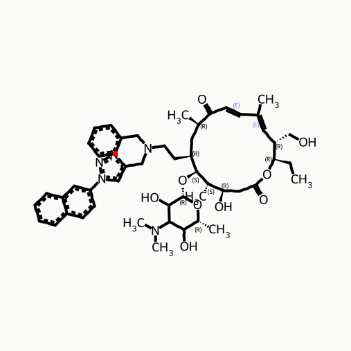 CC[C@H]1OC(=O)C[C@@H](O)[C@H](C)[C@@H](O[C@@H]2O[C@H](C)C(O)C(N(C)C)C2O)[C@@H](CCN(Cc2ccccc2)Cc2cn(-c3ccc4ccccc4c3)nn2)C[C@@H](C)C(=O)/C=C/C(C)=C/[C@@H]1CO